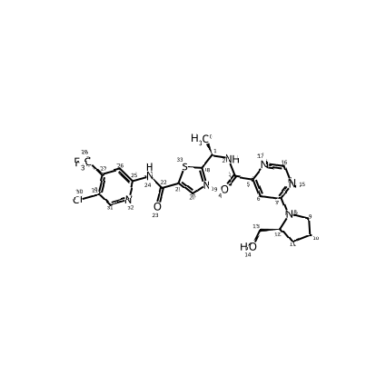 C[C@@H](NC(=O)c1cc(N2CCC[C@H]2CO)ncn1)c1ncc(C(=O)Nc2cc(C(F)(F)F)c(Cl)cn2)s1